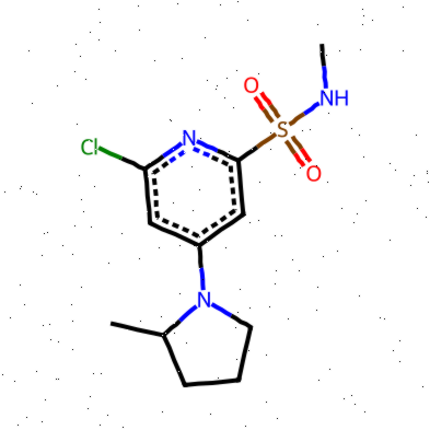 CNS(=O)(=O)c1cc(N2CCCC2C)cc(Cl)n1